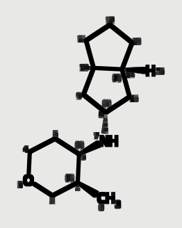 C[C@H]1COCC[C@H]1N[C@@H]1C[C]2CCC[C@@H]2C1